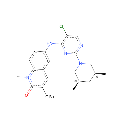 CC(C)COc1cc2cc(Nc3nc(N4C[C@H](C)C[C@H](C)C4)ncc3Cl)ccc2n(C)c1=O